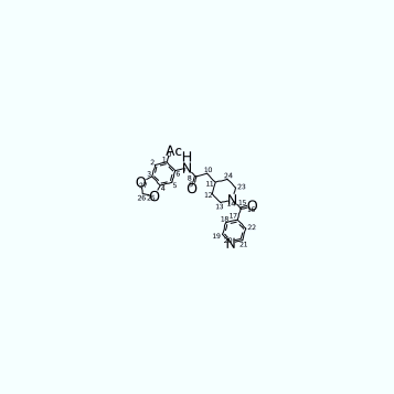 CC(=O)c1cc2c(cc1NC(=O)CC1CCN(C(=O)c3ccncc3)CC1)OCO2